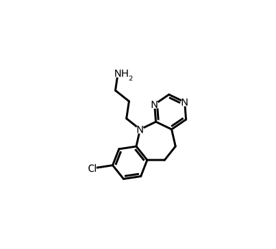 NCCCN1c2cc(Cl)ccc2CCc2cncnc21